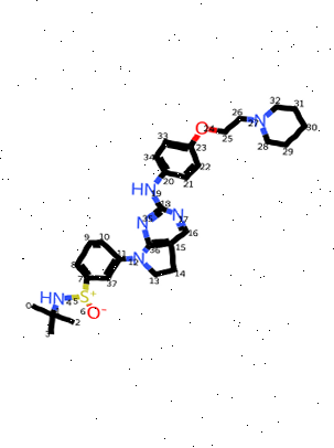 CC(C)(C)N[S+]([O-])c1cccc(N2CCc3cnc(Nc4ccc(OCCN5CCCCC5)cc4)nc32)c1